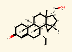 CC[C@@H]1CC2=CC(=O)CC[C@@H]2[C@H]2CC[C@]3(C)[C@H](CO)C[C@@H]4C[C@]43[C@H]12